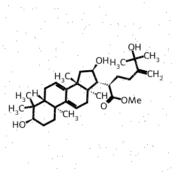 C=C(CC[C@@H](C(=O)OC)[C@H]1[C@H](O)C[C@@]2(C)C3=CC[C@H]4C(C)(C)[C@H](O)CC[C@]4(C)C3=CC[C@]12C)C(C)(C)O